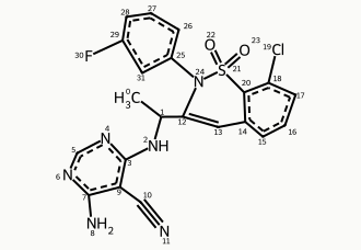 CC(Nc1ncnc(N)c1C#N)C1=Cc2cccc(Cl)c2S(=O)(=O)N1c1cccc(F)c1